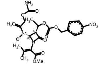 C=C(COC(N)=O)[S+]([O-])[C@@H]1[C@@H](C(C)OC(=O)OCc2ccc([N+](=O)[O-])cc2)C(=O)N1C(C(=O)OC)=C(C)C